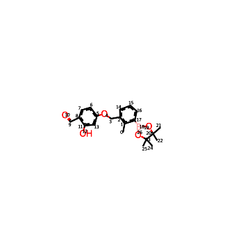 Cc1c(COc2ccc(C=O)c(O)c2)cccc1B1OC(C)(C)C(C)(C)O1